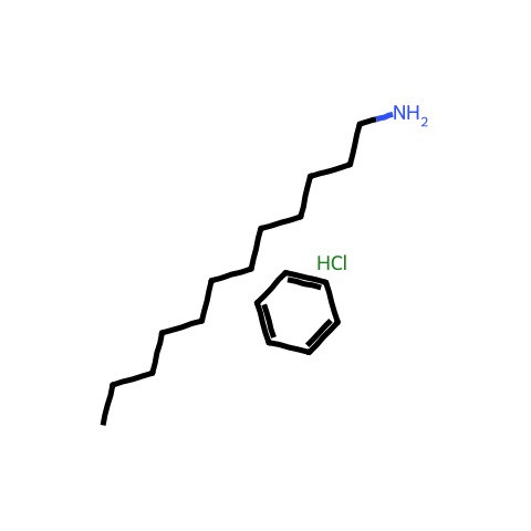 CCCCCCCCCCCCN.Cl.c1ccccc1